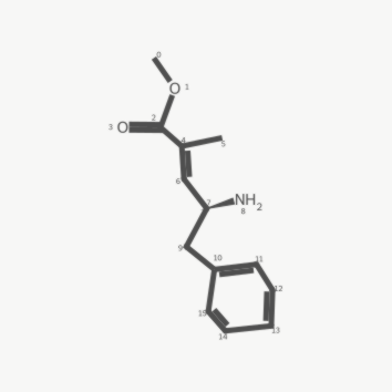 COC(=O)/C(C)=C/[C@@H](N)Cc1ccccc1